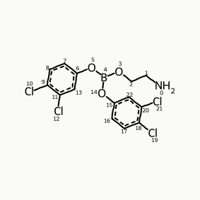 NCCOB(Oc1ccc(Cl)c(Cl)c1)Oc1ccc(Cl)c(Cl)c1